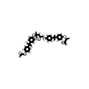 CC(Oc1ccc(C(C)(C)c2ccc(OCC(O)CC(C)(C)Oc3ccc(C(C)(C)c4ccc(OC5CO5)cc4)cc3)cc2)cc1)C1CO1